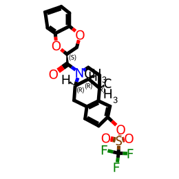 C[C@H]1[C@H]2Cc3ccc(OS(=O)(=O)C(F)(F)F)cc3[C@]1(C)CCN2C(=O)[C@@H]1COc2ccccc2O1